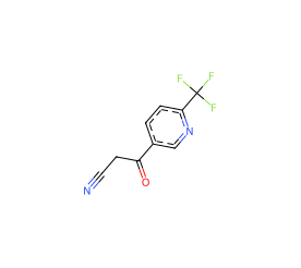 N#CCC(=O)c1ccc(C(F)(F)F)nc1